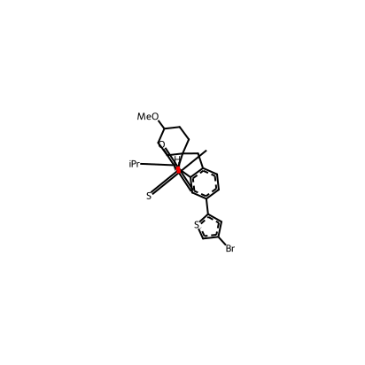 COC1CCC2(CC1)Cc1ccc(-c3cc(Br)cs3)cc1C21NC(=S)N(C(C)C)C1=O